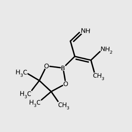 C/C(N)=C(/C=N)B1OC(C)(C)C(C)(C)O1